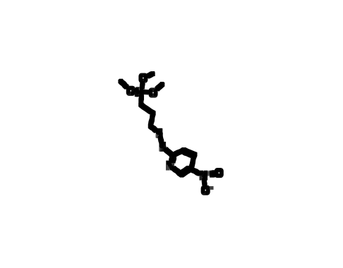 CO[Si](CCCSSc1ccc([N+](=O)[O-])cn1)(OC)OC